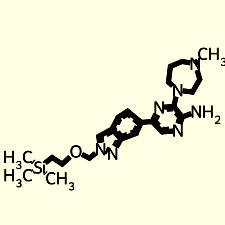 CN1CCCN(c2nc(-c3ccc4cn(COCC[Si](C)(C)C)nc4c3)cnc2N)CC1